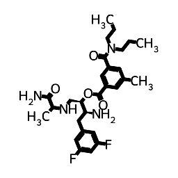 CCCN(CCC)C(=O)c1cc(C)cc(C(=O)O[C@H](CNC(C)C(N)=O)[C@@H](N)Cc2cc(F)cc(F)c2)c1